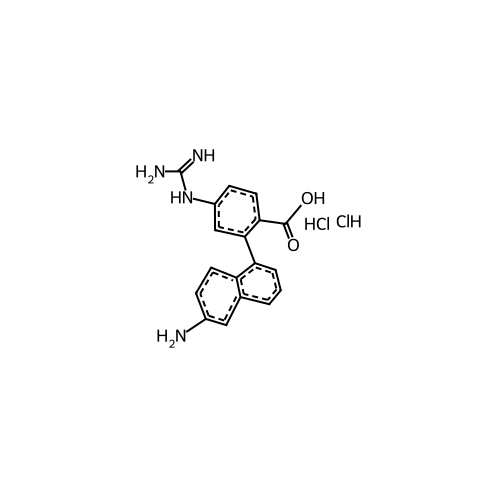 Cl.Cl.N=C(N)Nc1ccc(C(=O)O)c(-c2cccc3cc(N)ccc23)c1